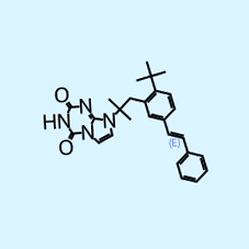 CC(C)(C)c1ccc(/C=C/c2ccccc2)cc1CC(C)(C)n1ccn2c(=O)[nH]c(=O)nc12